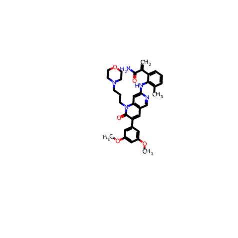 C=C(C(N)=O)c1cccc(C)c1Nc1cc2c(cn1)cc(-c1cc(OC)cc(OC)c1)c(=O)n2CCCN1CCOCC1